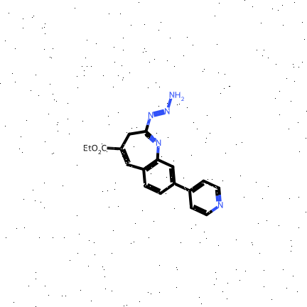 CCOC(=O)C1=Cc2ccc(-c3ccncc3)cc2N=C(N=NN)C1